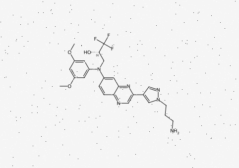 COc1cc(OC)cc(N(C[C@H](O)C(F)(F)F)c2ccc3ncc(-c4cnn(CCCN)c4)nc3c2)c1